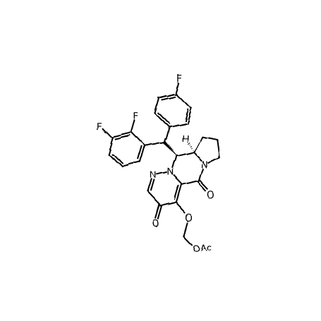 CC(=O)OCOc1c2n(ncc1=O)[C@@H](C(c1ccc(F)cc1)c1cccc(F)c1F)[C@H]1CCCN1C2=O